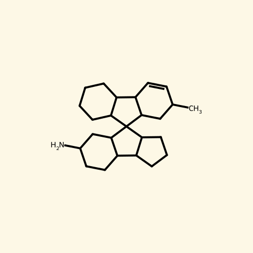 CC1C=CC2C3CCCCC3C3(C2C1)C1CCCC1C1CCC(N)CC13